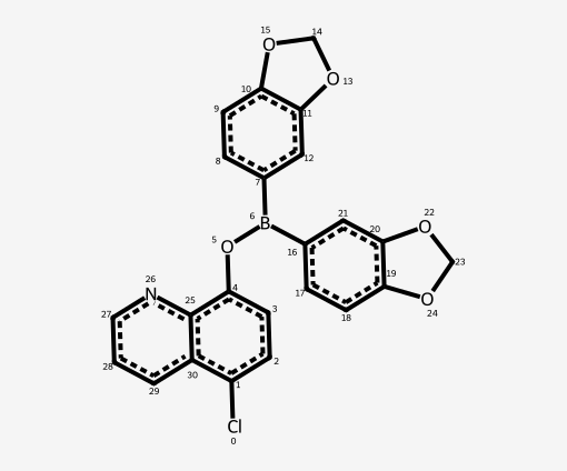 Clc1ccc(OB(c2ccc3c(c2)OCO3)c2ccc3c(c2)OCO3)c2ncccc12